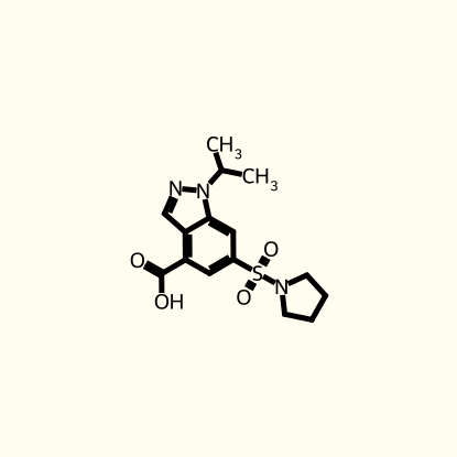 CC(C)n1ncc2c(C(=O)O)cc(S(=O)(=O)N3CCCC3)cc21